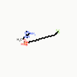 C[C@H](Cn1cnc2c(N)ncnc21)OCP(=O)(O)OCCCCCCCCCCCCCCCCCC#CC(F)(F)F